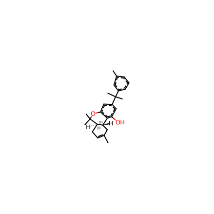 CC1=CC[C@@H]2[C@@H](C1)c1c(O)cc(C(C)(C)c3cccc(C)c3)cc1OC2(C)C